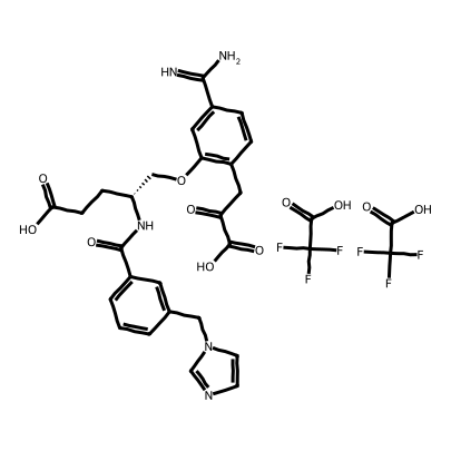 N=C(N)c1ccc(CC(=O)C(=O)O)c(OC[C@@H](CCC(=O)O)NC(=O)c2cccc(Cn3ccnc3)c2)c1.O=C(O)C(F)(F)F.O=C(O)C(F)(F)F